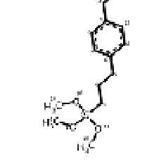 CO[Si](CCCc1ccc(CCl)cc1)(OC)OC